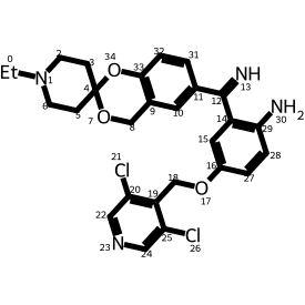 CCN1CCC2(CC1)OCc1cc(C(=N)c3cc(OCc4c(Cl)cncc4Cl)ccc3N)ccc1O2